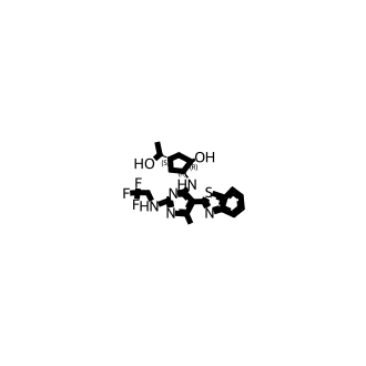 Cc1nc(NCC(F)(F)F)nc(N[C@@H]2C[C@H](C(C)O)C[C@H]2O)c1-c1nc2ccccc2s1